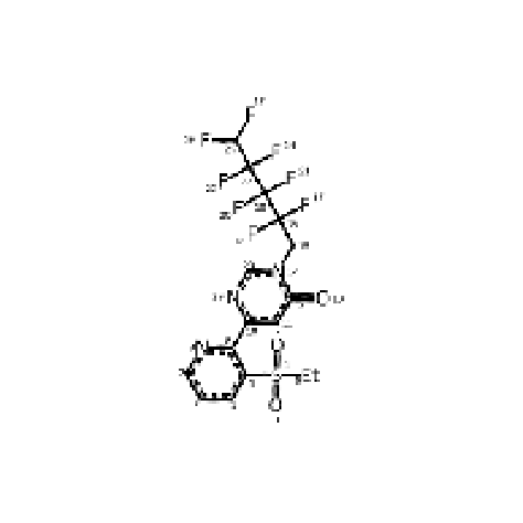 CCS(=O)(=O)c1cccnc1-c1cc(=O)n(CC(F)(F)C(F)(F)C(F)(F)C(F)F)cn1